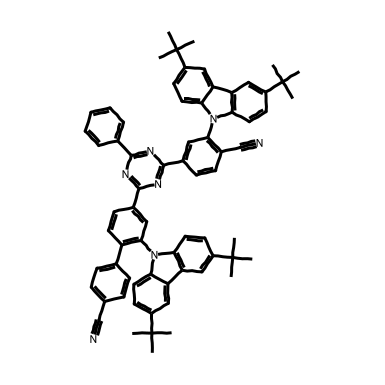 CC(C)(C)c1ccc2c(c1)c1cc(C(C)(C)C)ccc1n2-c1cc(-c2nc(-c3ccccc3)nc(-c3ccc(-c4ccc(C#N)cc4)c(-n4c5ccc(C(C)(C)C)cc5c5cc(C(C)(C)C)ccc54)c3)n2)ccc1C#N